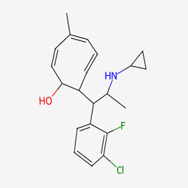 CC1=C/C=C/C(C(c2cccc(Cl)c2F)C(C)NC2CC2)C(O)/C=C\1